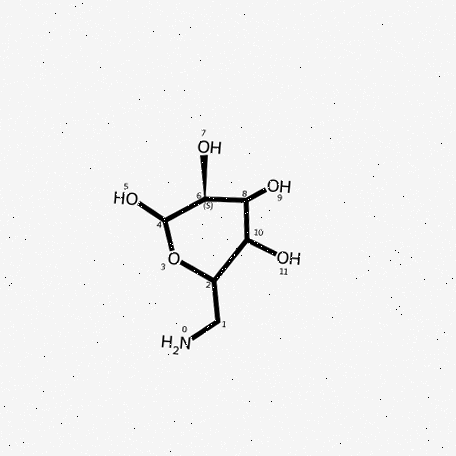 NCC1OC(O)[C@@H](O)C(O)C1O